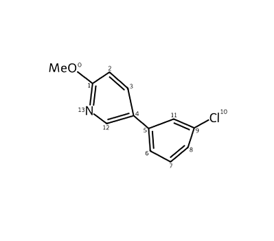 COc1ccc(-c2cccc(Cl)c2)cn1